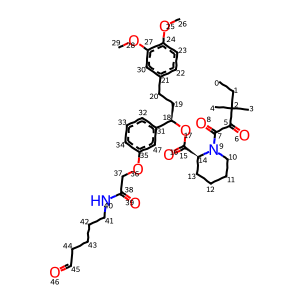 CCC(C)(C)C(=O)C(=O)N1CCCC[C@H]1C(=O)O[C@H](CCc1ccc(OC)c(OC)c1)c1cccc(OCC(=O)NCCCCC=O)c1